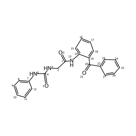 O=C(CNC(=O)Nc1ccccc1)Nc1ccccc1C(=O)c1ccccc1